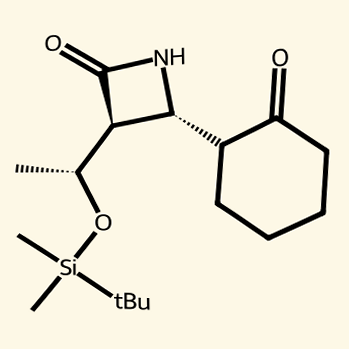 C[C@@H](O[Si](C)(C)C(C)(C)C)[C@H]1C(=O)N[C@@H]1C1CCCCC1=O